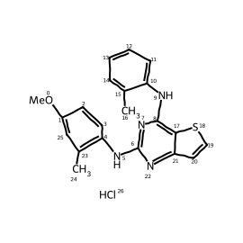 COc1ccc(Nc2nc(Nc3ccccc3C)c3sccc3n2)c(C)c1.Cl